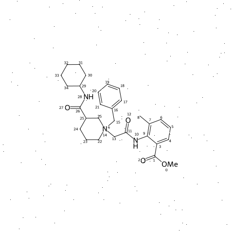 COC(=O)c1cccc(C)c1NC(=O)C[N+]1(Cc2ccccc2)CCCC(C(=O)NC2CCCCC2)C1